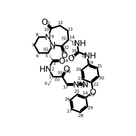 C[C@H](NC(=O)[C@@H]1CCCN2C(=O)CC[C@H](NC(=O)Nc3ccc(Oc4ccccc4)cc3)C(=O)N12)C(=O)C=[N+]=[N-]